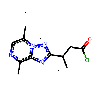 Cc1ncc(C)n2nc(C(C)CC(=O)Cl)nc12